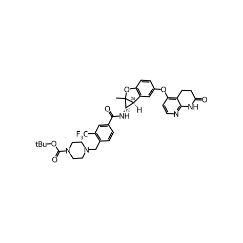 CC(C)(C)OC(=O)N1CCN(Cc2ccc(C(=O)N[C@H]3[C@@H]4c5cc(Oc6ccnc7c6CCC(=O)N7)ccc5OC34C)cc2C(F)(F)F)CC1